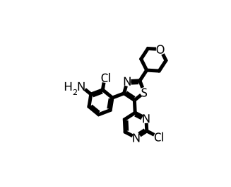 Nc1cccc(-c2nc(C3CCOCC3)sc2-c2ccnc(Cl)n2)c1Cl